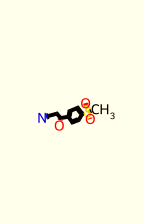 CS(=O)(=O)c1ccc(C(=O)CC#N)cc1